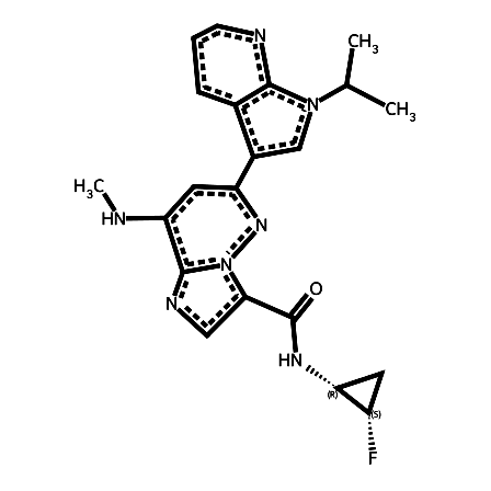 CNc1cc(-c2cn(C(C)C)c3ncccc23)nn2c(C(=O)N[C@@H]3C[C@@H]3F)cnc12